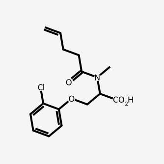 C=CCCC(=O)N(C)C(COc1ccccc1Cl)C(=O)O